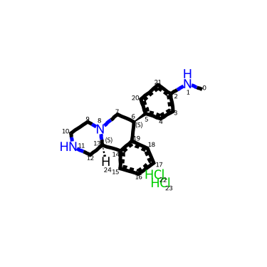 CNc1ccc([C@@H]2CN3CCNC[C@@H]3c3ccccc32)cc1.Cl.Cl